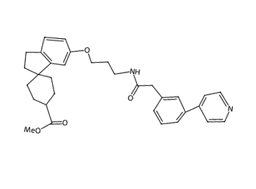 COC(=O)C1CCC2(CCc3ccc(OCCCNC(=O)Cc4cccc(-c5ccncc5)c4)cc32)CC1